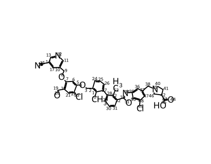 Cc1c(COc2cc(OCc3cncc(C#N)c3)c(C=O)cc2Cl)cccc1-c1cccc(-c2nc3cc(CN4CCC(C(=O)O)C4)cc(Cl)c3o2)c1C